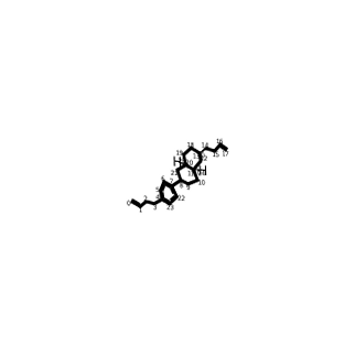 C=CCCc1ccc(C2CC[C@@H]3C[C@H](CCC=C)CC[C@@H]3C2)cc1